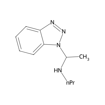 CCCNC(C)n1nnc2ccccc21